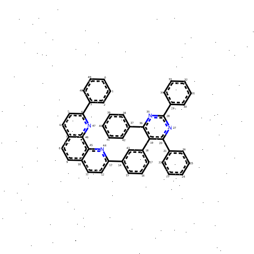 c1ccc(-c2ccc3ccc4ccc(-c5cccc(-c6c(-c7ccccc7)nc(-c7ccccc7)nc6-c6ccccc6)c5)nc4c3n2)cc1